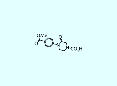 COC(=O)c1ccc(N2CCN(C(=O)O)CC2=O)cc1